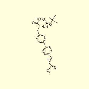 COC(=O)/C=C/c1ccc(-c2ccc(CC(NC(=O)OC(C)(C)C)C(=O)O)cc2)cc1